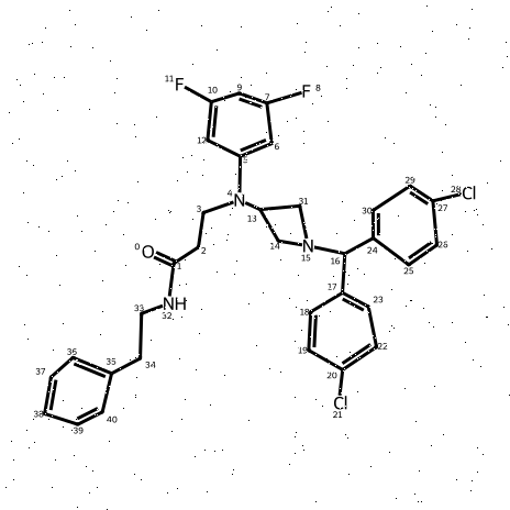 O=C(CCN(c1cc(F)cc(F)c1)C1CN(C(c2ccc(Cl)cc2)c2ccc(Cl)cc2)C1)NCCc1ccccc1